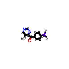 CCc1cncnc1C(=O)c1ccc(I(C)C)cc1